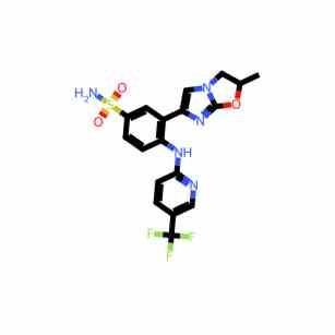 CC1Cn2cc(-c3cc(S(N)(=O)=O)ccc3Nc3ccc(C(F)(F)F)cn3)nc2O1